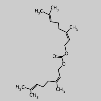 CC(C)=CCC/C(C)=C\COC(=O)OC/C=C(/C)CCC=C(C)C